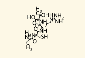 C[C@H](N)C(=O)N[C@@H](CS)C(=O)N[C@@H](CCCNC(=N)N)C(=O)N[C@H](C(=O)O)[C@@H](C)O